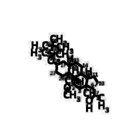 CO[C@H]1C[C@]2(C)[C@@H]([C@@H](C)O)CC[C@H]2[C@@H]2CC[C@H]3CC(O[Si](C)(C)C(C)(C)C)CC[C@]3(C)[C@H]21